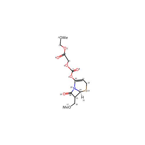 COCOC(=O)COC(=O)OC1=CCS[C@H]2C(COC)C(=O)N12